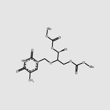 CC[C@H](OC(=O)OC(C)(C)C)C(COC(=O)OC(C)(C)C)OCn1cc(C)c(=O)[nH]c1=O